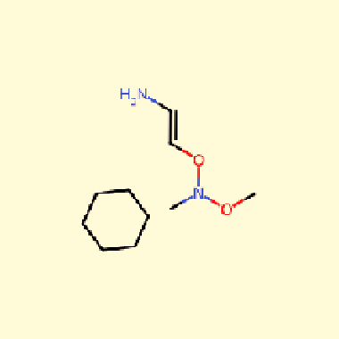 C1CCCCC1.CON(C)OC=CN